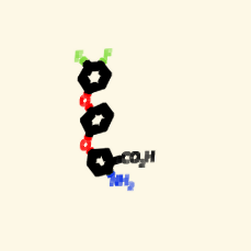 Nc1ccc(Oc2cccc(Oc3ccc(F)c(F)c3)c2)cc1C(=O)O